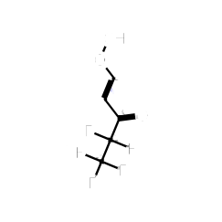 CO/C=C/C(=O)C(F)(F)C(F)(F)F